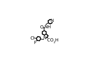 O=C(NCc1ccncc1)c1ccc2c(c1)cc(C(=O)O)n2Cc1ccc(Cl)c(F)c1